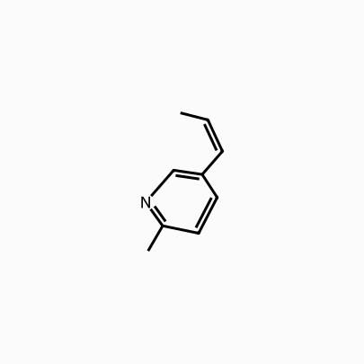 C/C=C\c1ccc(C)nc1